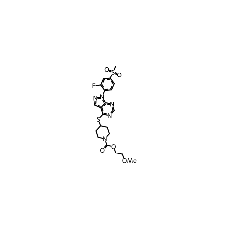 COCCOC(=O)N1CCC(Sc2ncnc3c2cnn3-c2ccc(S(C)(=O)=O)cc2F)CC1